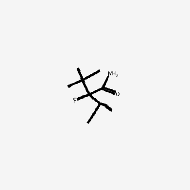 CC(C)C(F)(C(N)=O)C(C)(C)C